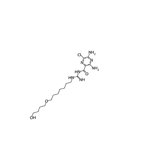 N=C(NCCCCCCCOCCCCO)NC(=O)c1nc(Cl)c(N)nc1N